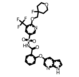 O=C(NS(=O)(=O)c1cnc(OCC2(F)CCOCC2)c(C(F)(F)F)c1)c1ccccc1Oc1cnc2[nH]ccc2c1